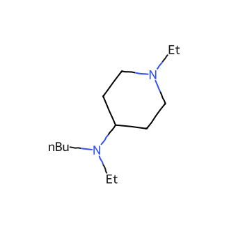 CCCCN(CC)C1CCN(CC)CC1